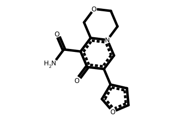 NC(=O)c1c2n(cc(-c3ccoc3)c1=O)CCOC2